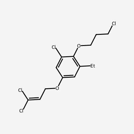 CCc1cc(OCC=C(Cl)Cl)cc(Cl)c1OCCCCl